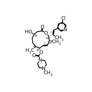 C/C(=C\c1cncc(Cl)c1)[C@H]1OC(=O)C[C@H](O)CC[C@H](C)[C@@H](OC(=O)N2CCN(C)CC2)/C=C/[C@@H]1C